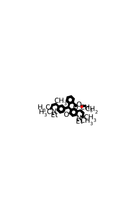 C=CCOC(=O)c1ccccc1C1=c2cc3c(cc2Oc2cc4c(cc21)C(C)=CC(C)(C)N4CC)=[N+](CC)C(C)(C)C=C3C